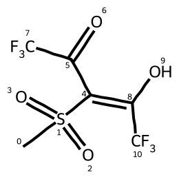 CS(=O)(=O)/C(C(=O)C(F)(F)F)=C(/O)C(F)(F)F